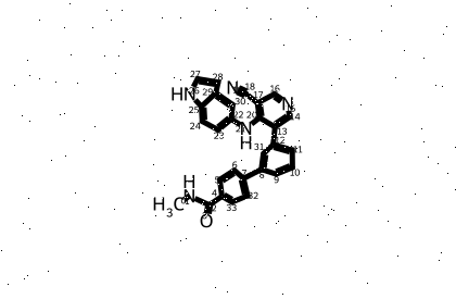 CNC(=O)c1ccc(-c2cccc(-c3cncc(C#N)c3Nc3ccc4[nH]ccc4c3)c2)cc1